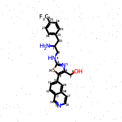 NC(CNc1nc(CO)c(-c2ccc3cnccc3c2)s1)Cc1ccc(C(F)(F)F)cc1